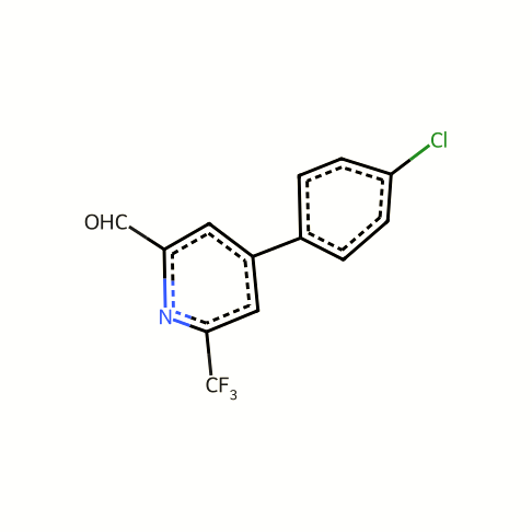 O=Cc1cc(-c2ccc(Cl)cc2)cc(C(F)(F)F)n1